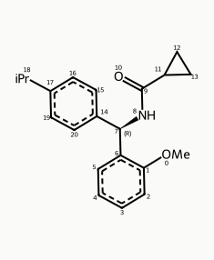 COc1ccccc1[C@H](NC(=O)C1CC1)c1ccc(C(C)C)cc1